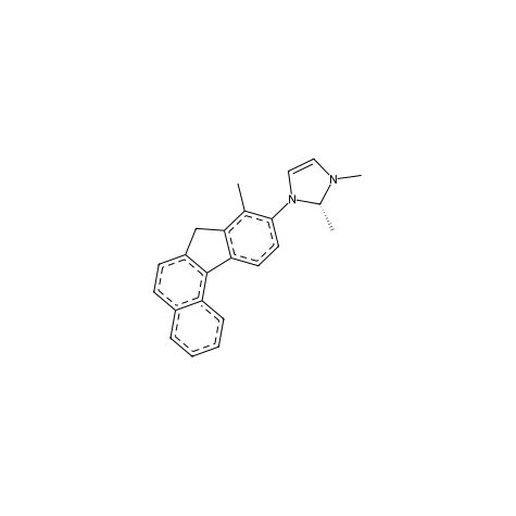 Cc1c(N2C=CN(C)[C@@H]2C)ccc2c1Cc1ccc3ccccc3c1-2